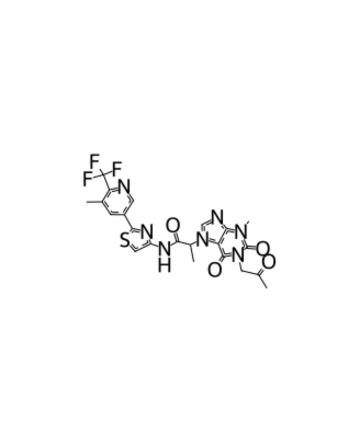 CC(=O)Cn1c(=O)c2c(ncn2C(C)C(=O)Nc2csc(-c3cnc(C(F)(F)F)c(C)c3)n2)n(C)c1=O